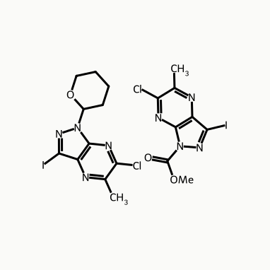 COC(=O)n1nc(I)c2nc(C)c(Cl)nc21.Cc1nc2c(I)nn(C3CCCCO3)c2nc1Cl